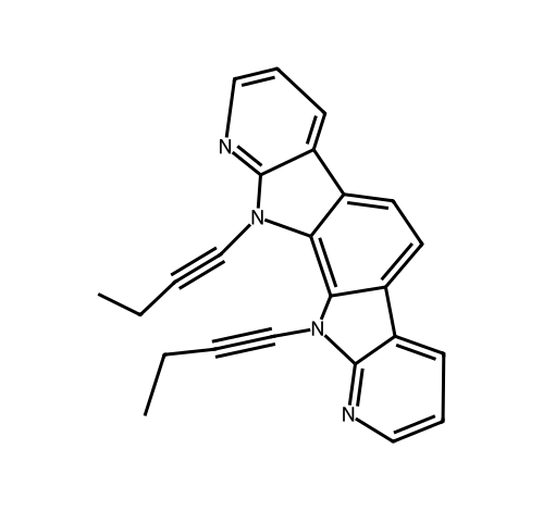 CCC#Cn1c2ncccc2c2ccc3c4cccnc4n(C#CCC)c3c21